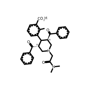 Cc1c(C(=O)O)cccc1C1[C@@H](C(=O)c2ccccc2)CN(CC(=O)N(C)C)C[C@@H]1C(=O)c1ccccc1